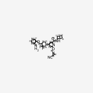 N#C[C@@H]1C[C@@H]1COc1nc(C(=O)NC2CC3CCC32)cc(N2CCC(COc3cncnc3N)C(F)(F)C2)n1